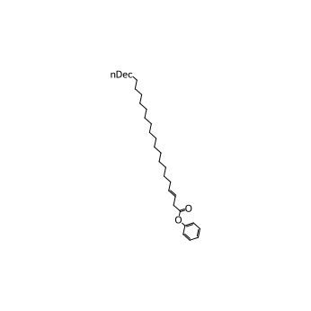 CCCCCCCCCCCCCCCCCCCCCCCCCC=CCC(=O)Oc1ccccc1